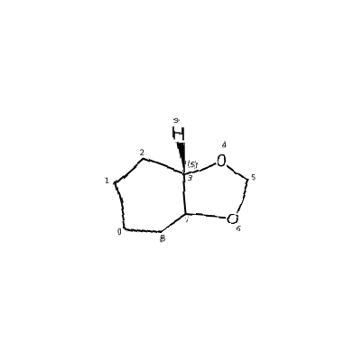 C1CC[C@@H]2OCOC2C1